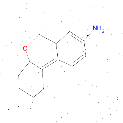 NC1=CC2COC3CCCCC3=C2C=C1